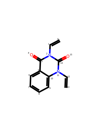 C=Cn1c(=O)c2ccccc2n(C=C)c1=O